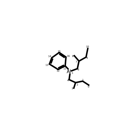 CCC(C)[CH2][Al]([CH2]C(C)CC)[c]1ccccc1